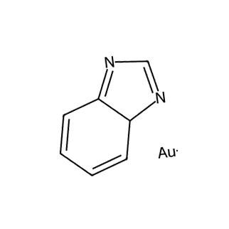 C1=CC2=NC=NC2C=C1.[Au]